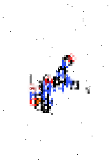 COc1cc(N2CCC(N3CCCOCC3)CC2)c(C2C=NN(C)C2)cc1Nc1ncc(Br)c(Nc2cnc3ccccc3c2P(C)(C)=O)n1